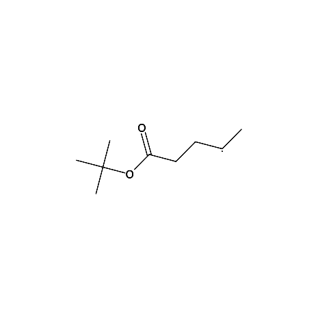 C[CH]CCC(=O)OC(C)(C)C